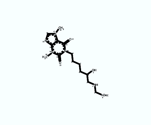 CCCCCCCCCCCNCC(O)CCCCn1c(=O)c2c(ncn2C)n(C)c1=O